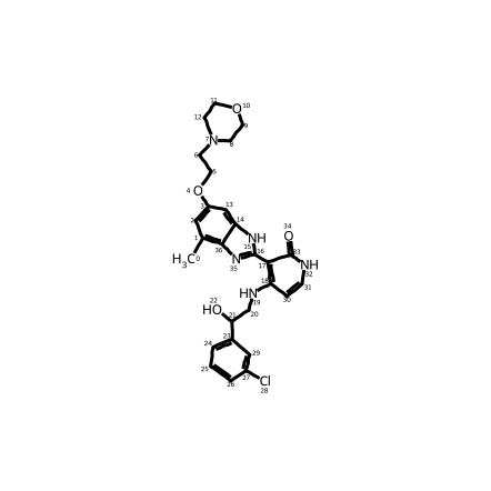 Cc1cc(OCCN2CCOCC2)cc2[nH]c(-c3c(NCC(O)c4cccc(Cl)c4)cc[nH]c3=O)nc12